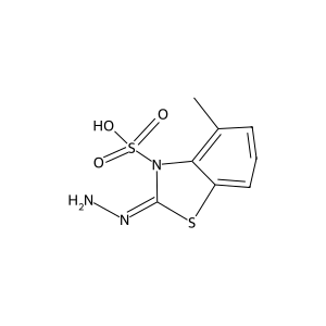 Cc1cccc2sc(=NN)n(S(=O)(=O)O)c12